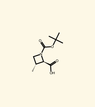 C[C@@H]1CN(C(=O)OC(C)(C)C)[C@H]1C(=O)O